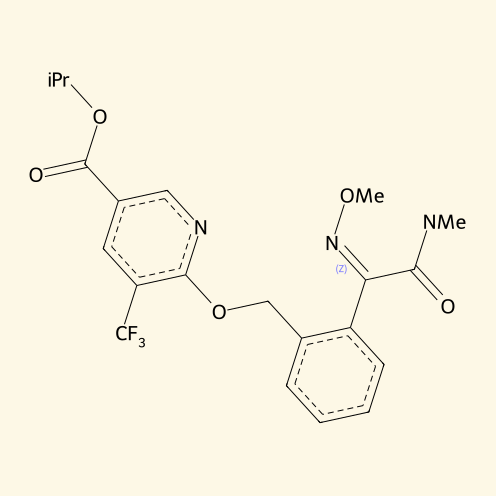 CNC(=O)/C(=N\OC)c1ccccc1COc1ncc(C(=O)OC(C)C)cc1C(F)(F)F